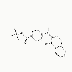 CC(=C1CCC2=C(C=CCC2)C1=O)N1CCN(C(=S)OC(C)(C)C)CC1